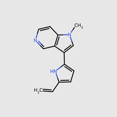 C=Cc1ccc(-c2cn(C)c3ccncc23)[nH]1